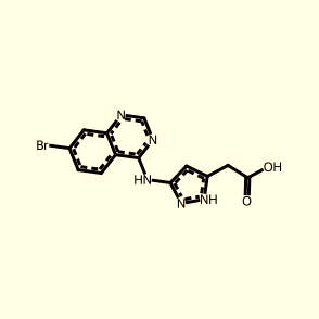 O=C(O)Cc1cc(Nc2ncnc3cc(Br)ccc23)n[nH]1